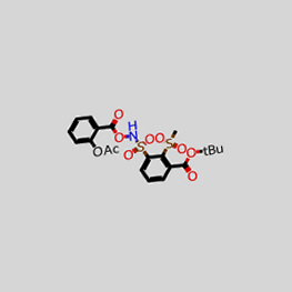 CC(=O)Oc1ccccc1C(=O)ONS(=O)(=O)c1cccc(C(=O)OC(C)(C)C)c1S(C)(=O)=O